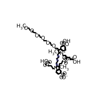 COCCOCCOCCOCCOCCOCCC1(C)C(/C=C/C=C/C=C2/N(CCCS(=O)(=O)O)c3ccc(S(=O)(=O)[O-])cc3C2(C)CCCS(=O)(=O)O)=[N+](CCCCCC(=O)O)c2ccc(S(=O)(=O)O)cc21